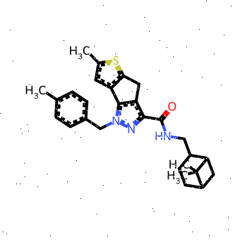 Cc1ccc(Cn2nc(C(=O)NCC3CCC4CC3C4(C)C)c3c2-c2cc(C)sc2C3)cc1